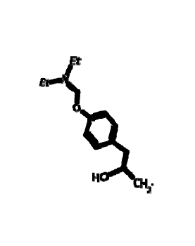 [CH2]C(O)Cc1ccc(OCN(CC)CC)cc1